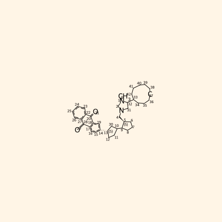 CN1CN(C[C@H]2CCCC2C2CC[C@H](c3ccc4c(c3)C(=O)c3ccccc3C4=O)C2)CC1C1CCCCCCCCC1